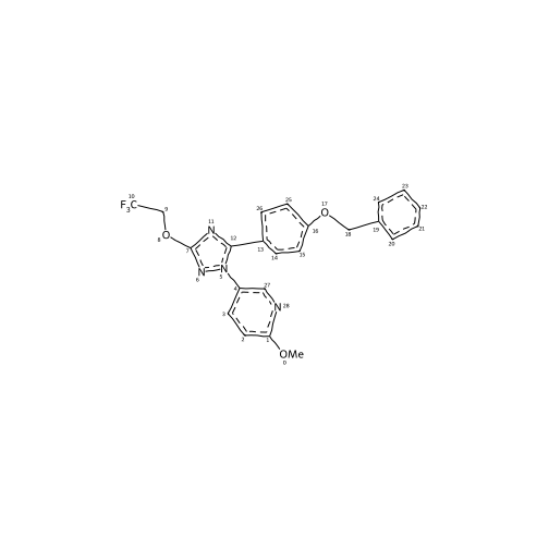 COc1ccc(-n2nc(OCC(F)(F)F)nc2-c2ccc(OCc3ccccc3)cc2)cn1